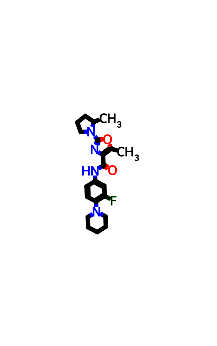 Cc1oc(N2CCCC2C)nc1C(=O)Nc1ccc(N2CCCCC2)c(F)c1